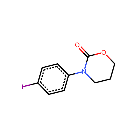 O=C1OCCCN1c1ccc(I)cc1